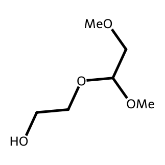 COCC(OC)OCCO